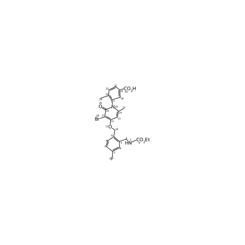 CCOC(=O)NCc1cc(F)ccc1COc1cc(C)n(-c2cc(C(=O)O)ccc2C)c(=O)c1Br